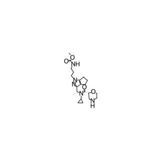 COC(=O)NCCCn1nc([C@@H](C)N(C(=O)[C@H]2CNCCO2)C2CC2)c2c1CCC2